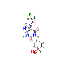 Cn1c(=O)n(CC2CCC(C)(O)CC2)c(=O)c2c1ncn2CC(F)(F)F